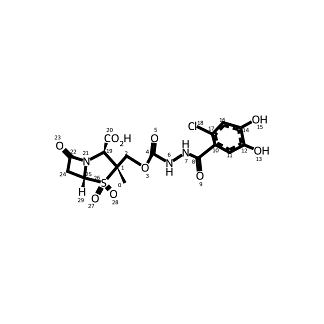 C[C@]1(COC(=O)NNC(=O)c2cc(O)c(O)cc2Cl)[C@H](C(=O)O)N2C(=O)C[C@H]2S1(=O)=O